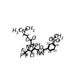 CN(C)CCOC(=O)CN/C(=C(/Cl)C(=N)C(F)(F)F)c1nnc(-c2cccc(S(C)(=O)=O)c2)o1